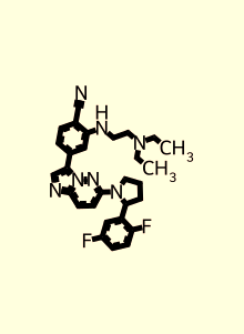 CCN(CC)CCNc1cc(-c2cnc3ccc(N4CCCC4c4cc(F)ccc4F)nn23)ccc1C#N